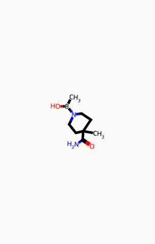 CB(O)N1CCC(C)(C(N)=O)CC1